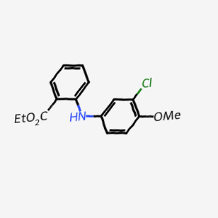 CCOC(=O)c1ccccc1Nc1ccc(OC)c(Cl)c1